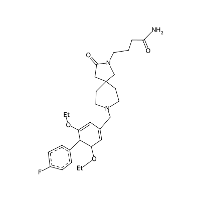 CCOC1=CC(CN2CCC3(CC2)CC(=O)N(CCCC(N)=O)C3)=CC(OCC)C1c1ccc(F)cc1